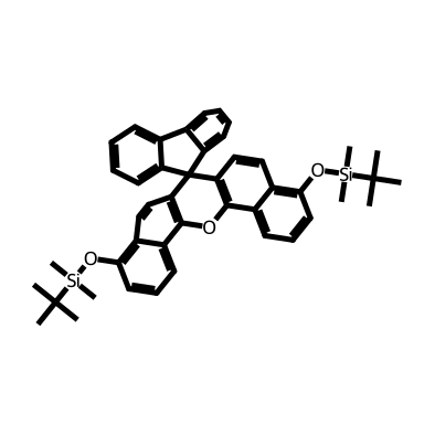 CC(C)(C)[Si](C)(C)Oc1cccc2c3c(ccc12)C1(c2ccccc2-c2ccccc21)c1ccc2c(O[Si](C)(C)C(C)(C)C)cccc2c1O3